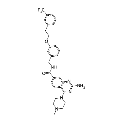 CN1CCN(c2nc(N)nc3cc(C(=O)NCc4cccc(OCCc5cccc(C(F)(F)F)c5)c4)ccc23)CC1